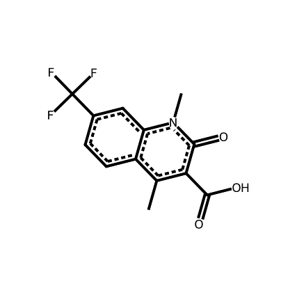 Cc1c(C(=O)O)c(=O)n(C)c2cc(C(F)(F)F)ccc12